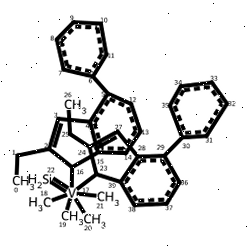 CCC1=Cc2c(-c3ccccc3)cccc2[CH]1[V]([CH3])([CH3])([CH3])([CH3])(=[SiH2])[CH]1C(CC)=Cc2c(-c3ccccc3)cccc21